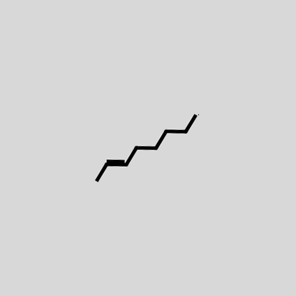 [CH2]CCCC/C=C/C